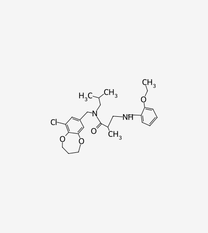 CCOc1ccccc1CNCC(C)C(=O)N(Cc1cc(Cl)c2c(c1)OCCCO2)CC(C)C